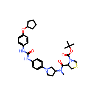 CN(C(=O)C1CSCN1C(=O)OC(C)(C)C)C1CCN(c2ccc(NC(=O)Nc3ccc(OC4CCCC4)cc3)cc2)C1